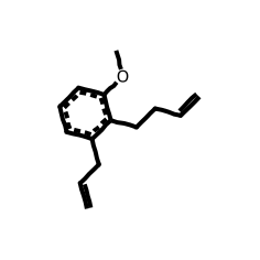 C=CCCc1c(CC=C)cccc1OC